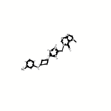 Cn1cnc2ncn(Cc3nc([C@H]4C[C@H](Oc5cccc(C#N)c5)C4)no3)c(=O)c21